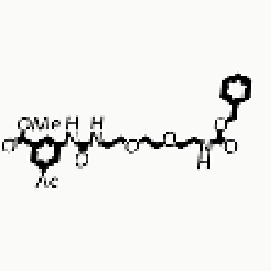 COC(=O)c1cc(NC(=O)NCCOCCOCCNC(=O)OCc2ccccc2)cc(C(C)=O)c1